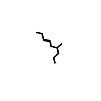 [CH2]CCC(C)CC=CCC